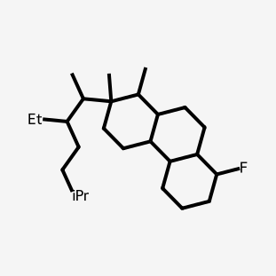 CCC(CCC(C)C)C(C)C1(C)CCC2C3CCCC(F)C3CCC2C1C